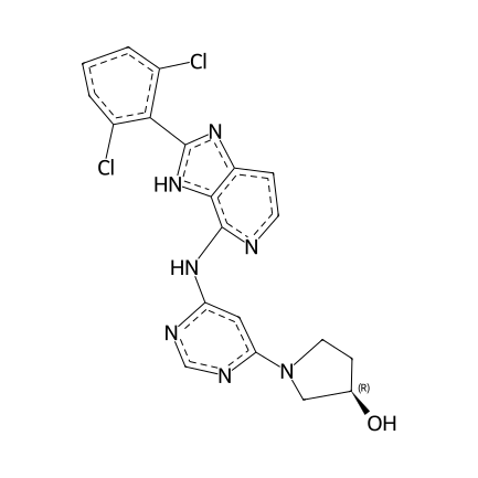 O[C@@H]1CCN(c2cc(Nc3nccc4nc(-c5c(Cl)cccc5Cl)[nH]c34)ncn2)C1